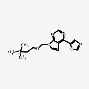 C[Si](C)(C)CCOCn1ccc2c(-c3cnco3)ncnc21